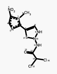 Cn1c([N+](=O)[O-])cnc1C1=CNN(NC(=O)C(Cl)Cl)S1